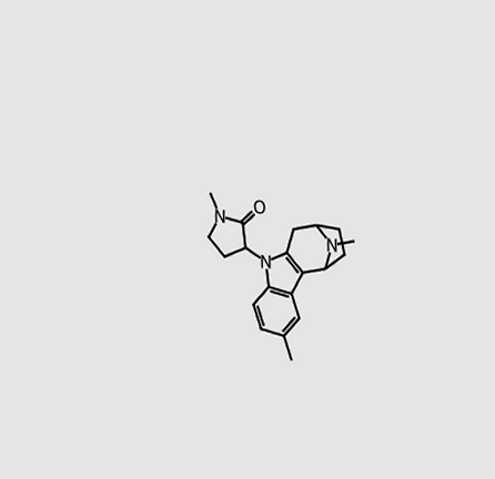 Cc1ccc2c(c1)c1c(n2C2CCN(C)C2=O)CC2CCC1N2C